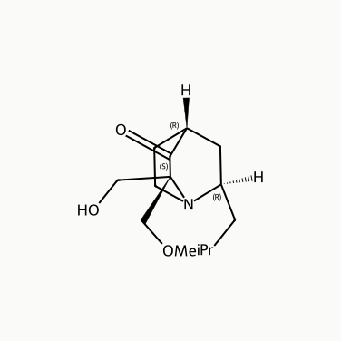 COC[C@@]1(CO)C(=O)[C@@H]2CCN1[C@H](CC(C)C)C2